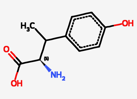 CC(c1ccc(O)cc1)[C@H](N)C(=O)O